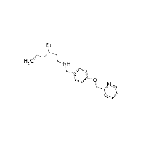 C=CCC(CC)CCNCc1ccc(OCc2ccccn2)cc1